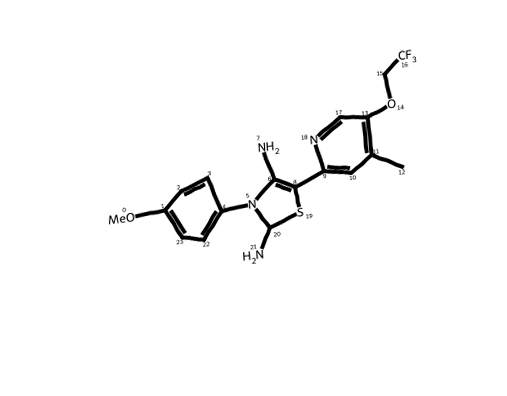 COc1ccc(N2C(N)=C(c3cc(C)c(OCC(F)(F)F)cn3)SC2N)cc1